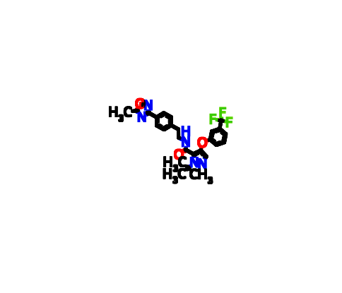 Cc1nc(-c2ccc(CCNC(=O)c3c(Oc4cccc(C(F)(F)F)c4)cnn3C(C)(C)C)cc2)no1